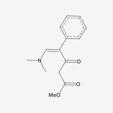 COC(=O)CC(=O)C(=CN(C)C)c1ccccc1